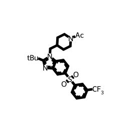 CC(=O)N1CCC(Cn2c(C(C)(C)C)nc3cc(S(=O)(=O)c4cccc(C(F)(F)F)c4)ccc32)CC1